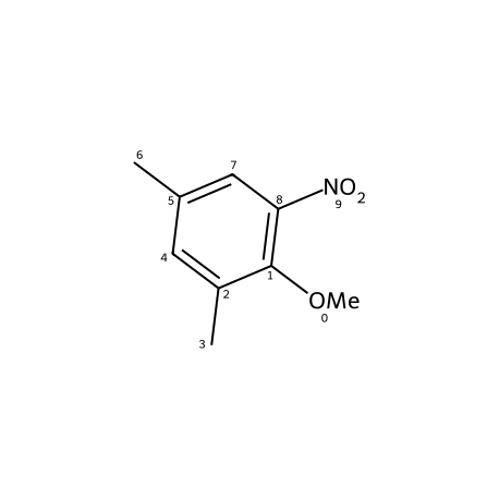 COc1c(C)cc(C)cc1[N+](=O)[O-]